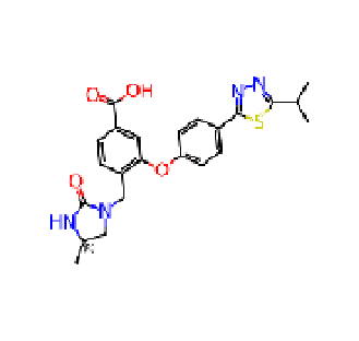 CC(C)c1nnc(-c2ccc(Oc3cc(C(=O)O)ccc3CN3C[C@@H](C)NC3=O)cc2)s1